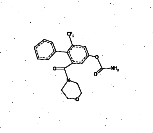 NC(=O)Oc1cc(C(=O)N2CCOCC2)c(-c2ccccc2)c(C(F)(F)F)c1